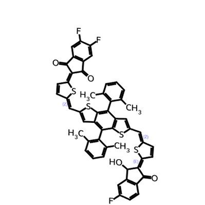 Cc1cccc(C)c1-c1c2cc(/C=c3/cc/c(=C4\C(=O)c5ccc(F)cc5C4O)s3)sc2c(-c2c(C)cccc2C)c2cc(/C=c3/ccc(=C4C(=O)c5cc(F)c(F)cc5C4=O)s3)sc12